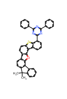 CC1(C)c2ccccc2-c2c1ccc1c2oc2c1ccc1sc3c(-c4nc(-c5ccccc5)nc(-c5ccccc5)n4)cccc3c12